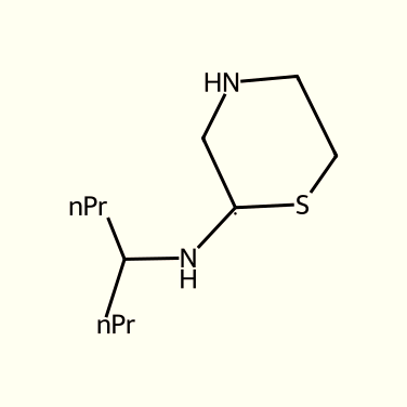 CCCC(CCC)N[C]1CNCCS1